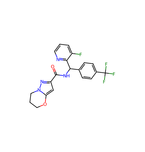 O=C(NC(c1ccc(C(F)(F)F)cc1)c1ncccc1F)c1cc2n(n1)CCCO2